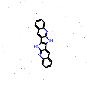 c1ccc2nc3[nH]c4c5cc6ccccc6nc5[nH]c4c3cc2c1